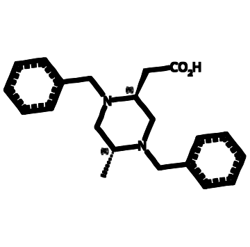 C[C@@H]1CN(Cc2ccccc2)[C@@H](CC(=O)O)CN1Cc1ccccc1